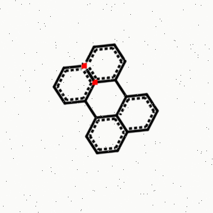 c1cncc(-c2cccc3cccc(-c4cccnc4)c23)c1